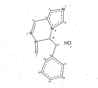 Cl.O=C1N=Cc2cncn2C1Cc1ccccc1